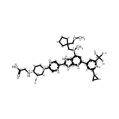 COCC1(CN(C)c2cc(-c3cc(C4CC4)nc(C(F)(F)F)c3)nc3nc(-c4cnc(N5CC[C@@H](NCC(=O)O)[C@@H](F)C5)cn4)[nH]c23)CCCC1